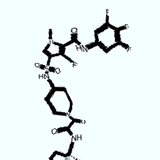 CC[C@@H](C)NC(=O)C(=O)N1CCC(NS(=O)(=O)c2cn(C)c(C(=O)Nc3cc(F)c(F)c(F)c3)c2F)CC1